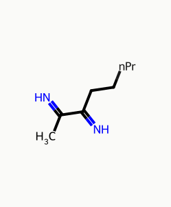 CCCCCC(=N)C(C)=N